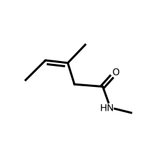 CC=C(C)CC(=O)NC